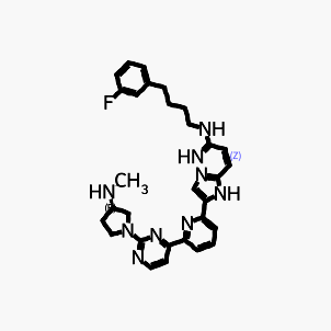 CN[C@@H]1CCN(c2nccc(-c3cccc(-c4cnc(/C=C\C(=N)NCCCCc5cccc(F)c5)[nH]4)n3)n2)C1